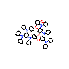 c1ccc(N(c2ccccc2)c2cc3c4c(c2)N(c2ccccc2)c2cc5c(cc2B4c2cc4c(cc2O3)N(c2ccccc2)c2cc(N(c3ccccc3)c3ccccc3)cc3c2B4c2ccccc2N3c2ccccc2)Oc2cccc3c2N5c2ccccc2O3)cc1